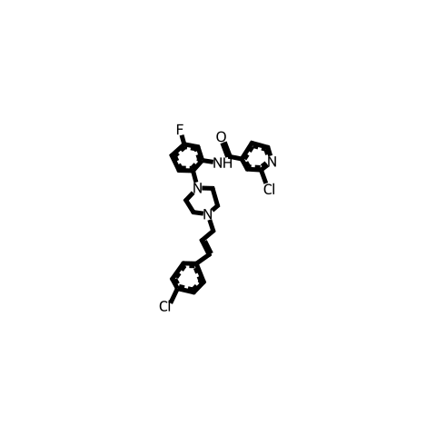 O=C(Nc1cc(F)ccc1N1CCN(CC=Cc2ccc(Cl)cc2)CC1)c1ccnc(Cl)c1